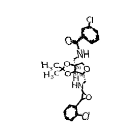 CC1(C)O[C@@H]2[C@@H](CNC3OC3c3ccccc3Cl)OC[C@]2(CNC(=O)c2cccc(Cl)c2)O1